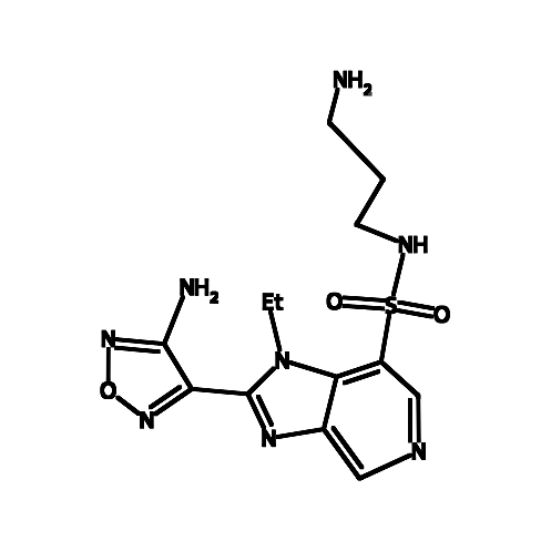 CCn1c(-c2nonc2N)nc2cncc(S(=O)(=O)NCCCN)c21